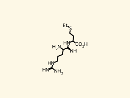 CCSCCC(NC(=N)C(N)CCCNC(=N)N)C(=O)O